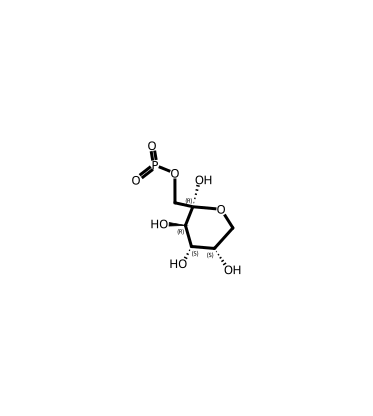 O=P(=O)OC[C@@]1(O)OC[C@H](O)[C@H](O)[C@H]1O